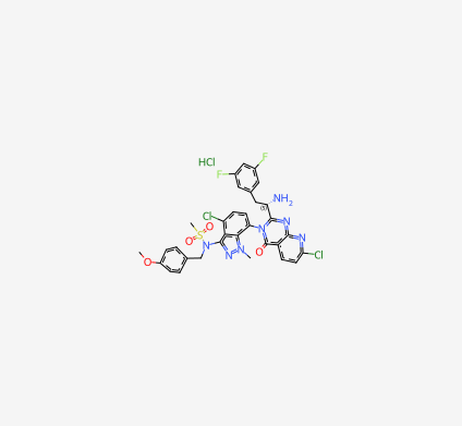 COc1ccc(CN(c2nn(C)c3c(-n4c([C@@H](N)Cc5cc(F)cc(F)c5)nc5nc(Cl)ccc5c4=O)ccc(Cl)c23)S(C)(=O)=O)cc1.Cl